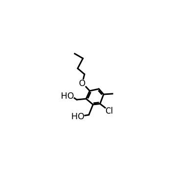 CCCCOc1cc(C)c(Cl)c(CO)c1CO